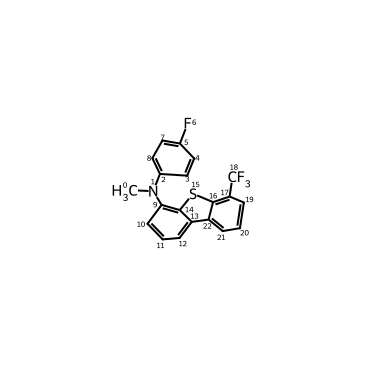 CN(c1ccc(F)cc1)c1cccc2c1sc1c(C(F)(F)F)cccc12